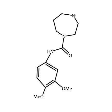 COc1ccc(NC(=O)N2CCC[N]CC2)cc1OC